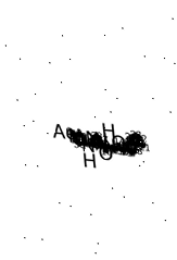 CC(=O)N1CCC(Nc2cc(C(=O)NCC(O)CN3CCc4c(C)cccc4C3)ncn2)CC1